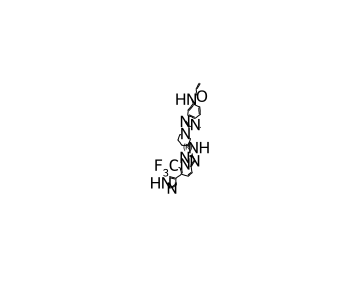 C=CC(=O)Nc1ccc2c(c1)nc(N1CCC[C@@H](Nc3nc4ccc(-c5cn[nH]c5)c(C(F)(F)F)n4n3)C1)n2C